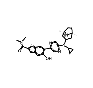 CN(C)C(=O)c1cc2cc(O)c(-c3cnc(N(C4CC4)C4C[C@]5(C)CC[C@](C)(C4)N5)cn3)cc2o1